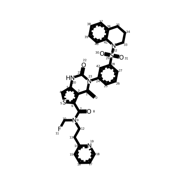 C=C1c2c(csc2C(=O)N(CF)CCc2ccccn2)NC(=O)N1c1cccc(S(=O)(=O)N2CCCc3ccccc32)c1